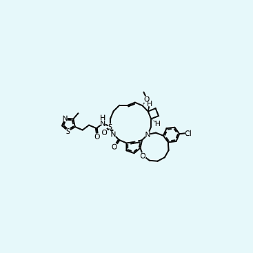 CO[C@H]1/C=C/CCCS(=O)(NC(=O)CCc2scnc2C)=NC(=O)c2ccc3c(c2)N(Cc2ccc(Cl)cc2CCCCO3)C[C@@H]2CC[C@H]21